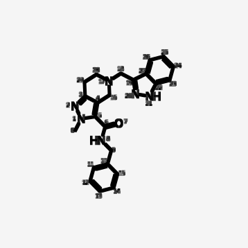 Cn1nc2c(c1C(=O)NCc1ccccc1)CN(Cc1n[nH]c3ccccc13)CC2